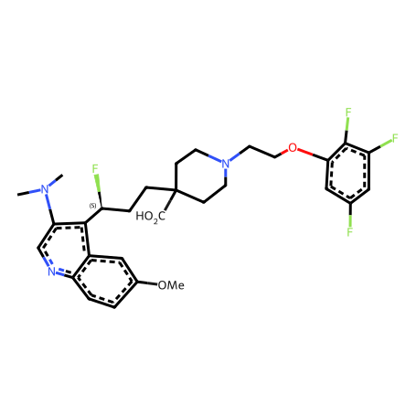 COc1ccc2ncc(N(C)C)c([C@@H](F)CCC3(C(=O)O)CCN(CCOc4cc(F)cc(F)c4F)CC3)c2c1